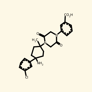 CC1(N2CC(=O)N(c3cccc(C(=O)O)c3)CC2=O)CCC(N)(c2cccc(Cl)c2)CC1